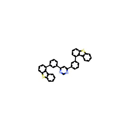 c1cc(-c2cc(-c3cccc(-c4cccc5sc6ccccc6c45)c3)ncn2)cc(-c2cccc3sc4ccccc4c23)c1